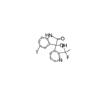 CC(F)(F)c1ncccc1C1(O)C(=O)Nc2ccc(I)cc21